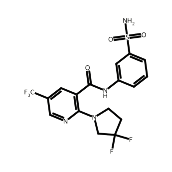 NS(=O)(=O)c1cccc(NC(=O)c2cc(C(F)(F)F)cnc2N2CCC(F)(F)C2)c1